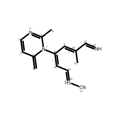 C=C1C=CN=C(C)N1C(/C=C(\C)C=N)=C/C=[SH]C#N